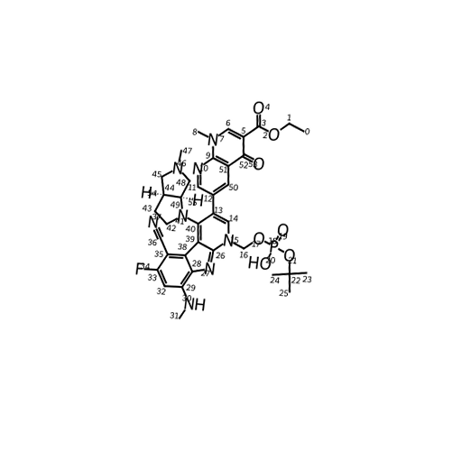 CCOC(=O)c1cn(C)c2ncc(-c3cn(COP(=O)(O)OC(C)(C)C)c4nc5c(NC)cc(F)c(C#N)c5c-4c3N3CC[C@H]4CN(C)C[C@H]43)cc2c1=O